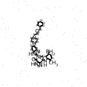 Bc1ccc(C)c(NC(=O)c2nc[nH]c2C(=O)Nc2nc3cc(N4CCN(CCOCc5ccccc5)CC4)ccc3[nH]2)c1